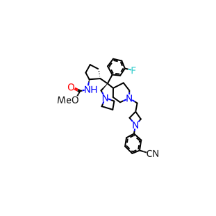 COC(=O)N[C@H]1CCC[C@@H]1[C@](CN1CCC1)(c1cccc(F)c1)C1CCN(CC2CN(c3cccc(C#N)c3)C2)CC1